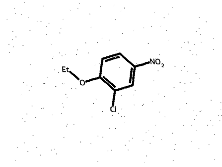 CCOc1ccc([N+](=O)[O-])cc1Cl